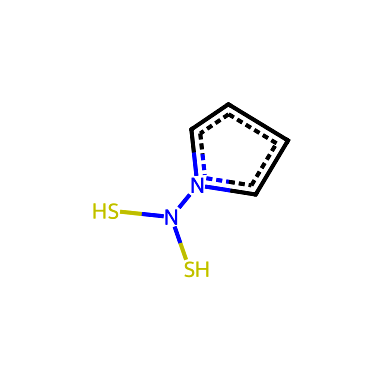 SN(S)n1cccc1